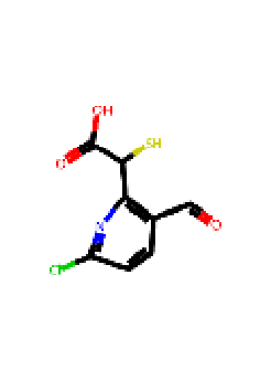 O=Cc1ccc(Cl)nc1C(S)C(=O)O